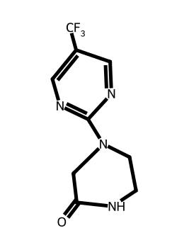 O=C1CN(c2ncc(C(F)(F)F)cn2)CCN1